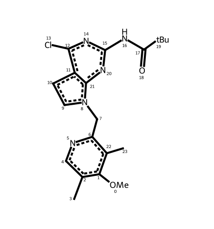 COc1c(C)cnc(Cn2ccc3c(Cl)nc(NC(=O)C(C)(C)C)nc32)c1C